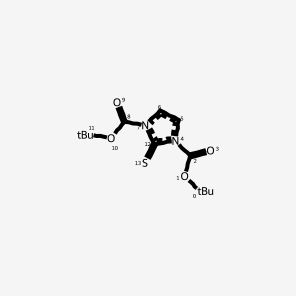 CC(C)(C)OC(=O)n1ccn(C(=O)OC(C)(C)C)c1=S